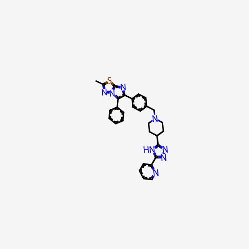 Cc1nn2c(-c3ccccc3)c(-c3ccc(CN4CCC(c5nnc(-c6ccccn6)[nH]5)CC4)cc3)nc2s1